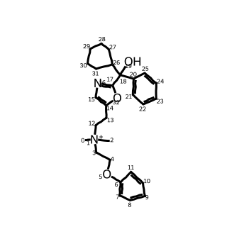 C[N+](C)(CCOc1ccccc1)CCc1cnc(C(O)(c2ccccc2)C2CCCCC2)o1